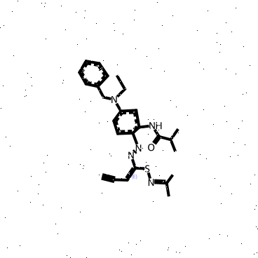 C#C/C=C(\N=Nc1ccc(N(CC)Cc2ccccc2)cc1NC(=O)C(C)C)SN=C(C)C